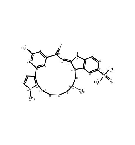 Cc1cc2cc(n1)-c1cnn(C)c1NCCC[C@@H](C)CN1/C(=N/C2=O)Nc2ccc(P(C)(C)=O)cc21